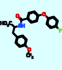 O=C(NC(Cc1ccc(OC(F)(F)F)cc1)C(=O)O)c1ccc(Oc2ccc(F)cc2)cc1